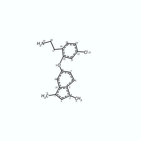 Cc1cn(C)c2ccc(Oc3cc(Cl)ccc3CCN)cc12